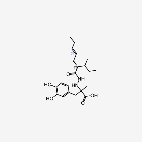 CC/C=C/C[C@H](C(=O)NNC(C)(Cc1ccc(O)c(O)c1)C(=O)O)C(C)CC